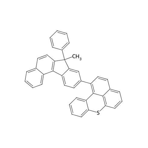 CC1(c2ccccc2)c2cc(-c3ccc4cccc5c4c3-c3ccccc3S5)ccc2-c2c1ccc1ccccc21